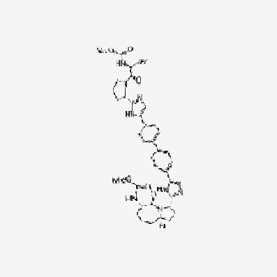 COC(=O)NC(C(=O)N1CCC[C@H]1c1ncc(-c2ccc(-c3ccc(-c4cnc([C@@H]5CC[C@H]6CCC[C@H](NC(=O)OC)C(=O)N65)[nH]4)cc3)cc2)[nH]1)C(C)C